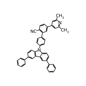 Cc1cc(-c2ccc(C#N)c(-c3ccc(-n4c5ccc(-c6ccccc6)cc5c5cc(-c6ccccc6)ccc54)cc3)c2)cc(C)n1